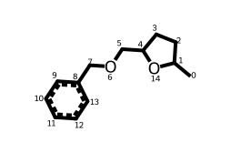 CC1CCC(COCc2ccccc2)O1